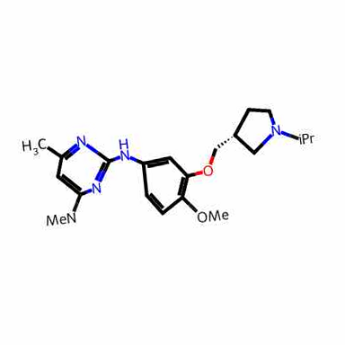 CNc1cc(C)nc(Nc2ccc(OC)c(OC[C@@H]3CCN(C(C)C)C3)c2)n1